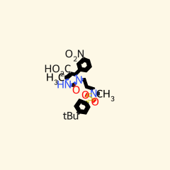 CC1=C(C(=O)O)C(c2cccc([N+](=O)[O-])c2)N(CCCN(C)S(=O)(=O)c2ccc(C(C)(C)C)cc2)C(=O)N1